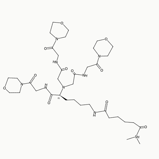 C[SH](C)C(=O)CCCCC(=O)NCCCC[C@@H](C(=O)NCC(=O)N1CCOCC1)N(CC(=O)NCC(=O)N1CCOCC1)CC(=O)NCC(=O)N1CCOCC1